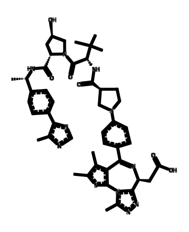 Cc1ncsc1-c1ccc([C@H](C)NC(=O)[C@@H]2C[C@@H](O)CN2C(=O)[C@@H](NC(=O)[C@H]2CCN(c3ccc(C4=N[C@@H](CC(=O)O)c5nnc(C)n5-c5sc(C)c(C)c54)cc3)C2)C(C)(C)C)cc1